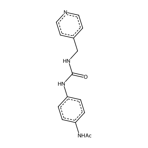 CC(=O)Nc1ccc(NC(=O)NCc2ccncc2)cc1